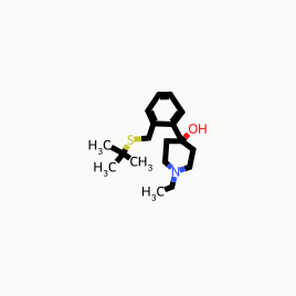 CCN1CCC(O)(c2ccccc2CSC(C)(C)C)CC1